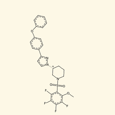 COc1c(F)c(F)c(F)c(F)c1S(=O)(=O)N1CCC[C@@H](n2ccc(-c3ccc(Oc4ccccc4)cc3)n2)C1